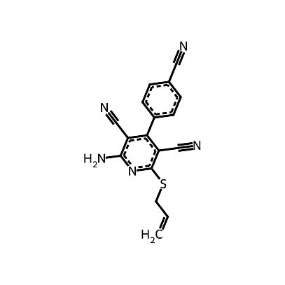 C=CCSc1nc(N)c(C#N)c(-c2ccc(C#N)cc2)c1C#N